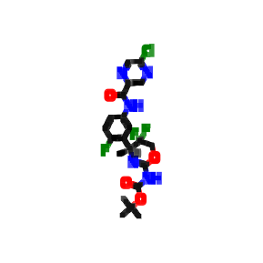 CC(C)(C)OC(=O)NC1=N[C@](C)(c2cc(NC(=O)c3cnc(Cl)cn3)ccc2F)C(F)(F)CO1